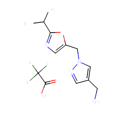 CC(C)c1ncc(Cn2cc(CN)cn2)o1.O=C(O)C(F)(F)F